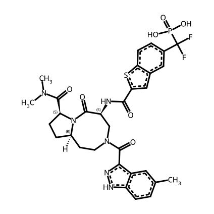 Cc1ccc2[nH]nc(C(=O)N3CC[C@H]4CC[C@@H](C(=O)N(C)C)N4C(=O)[C@@H](NC(=O)c4cc5cc(C(F)(F)P(=O)(O)O)ccc5s4)C3)c2c1